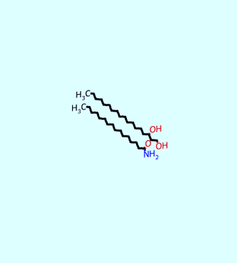 CCCCCCCCCCCCCCCC(N)=O.CCCCCCCCCCCCCCCC(O)CCO